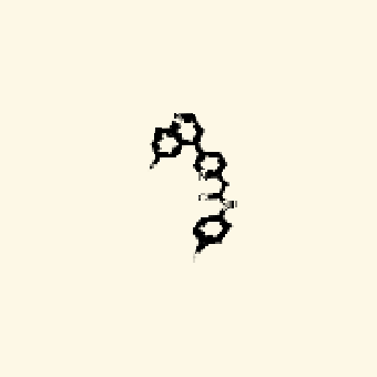 O=C(Cc1ccc(-c2ccnc3ccc(F)cc23)cn1)Nc1ccc(F)cc1